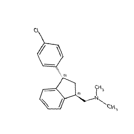 CN(C)C[C@@H]1C[C@@H](c2ccc(Cl)cc2)c2ccccc21